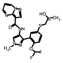 C[C@H](O)CSc1ccc(OC(F)F)c(-c2nn(C)cc2NC(=O)c2cnn3cccnc23)c1